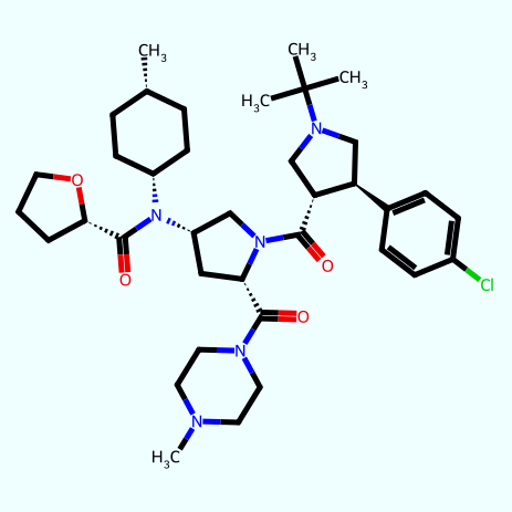 CN1CCN(C(=O)[C@@H]2C[C@H](N(C(=O)[C@@H]3CCCO3)[C@H]3CC[C@@H](C)CC3)CN2C(=O)[C@@H]2CN(C(C)(C)C)C[C@H]2c2ccc(Cl)cc2)CC1